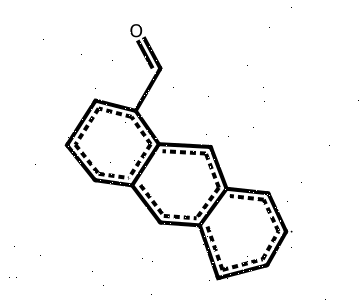 O=Cc1cccc2cc3cc[c]cc3cc12